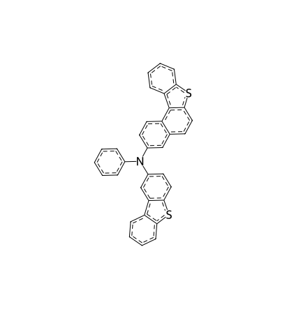 c1ccc(N(c2ccc3c(ccc4sc5ccccc5c43)c2)c2ccc3sc4ccccc4c3c2)cc1